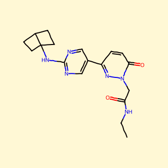 CCNC(=O)Cn1nc(-c2cnc(NC34CCC3CC4)nc2)ccc1=O